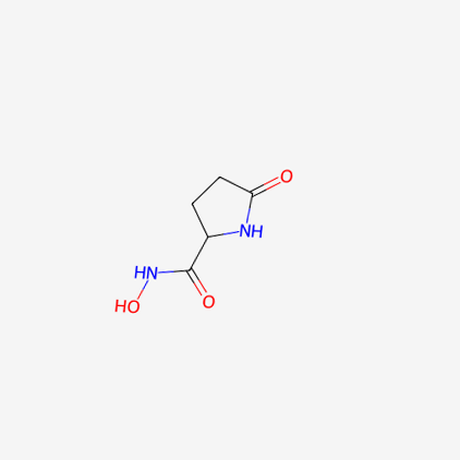 O=C1CCC(C(=O)NO)N1